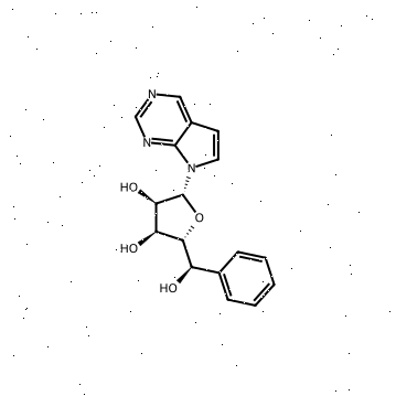 O[C@@H]1[C@H](O)[C@@H]([C@H](O)c2ccccc2)O[C@H]1n1ccc2cncnc21